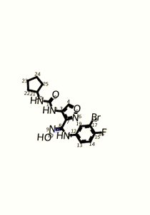 O=C(Nc1conc1/C(=N/O)Nc1ccc(F)c(Br)c1)NC1CCCC1